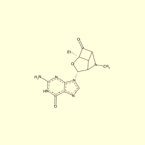 CC[C@@]12O[C@@H](n3cnc4c(=O)[nH]c(N)nc43)C3C1C(C2=O)N3C